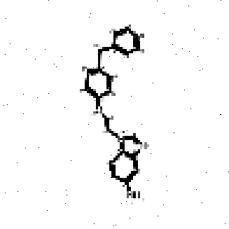 Nc1ccc2c(c1)ncn2CCOc1ccc(Cc2ccccc2)cc1